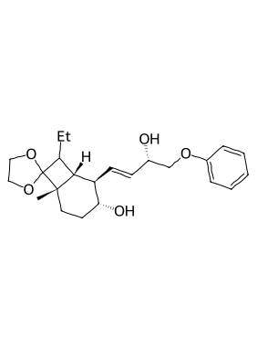 CCC1[C@@H]2[C@@H](/C=C/[C@H](O)COc3ccccc3)[C@H](O)CC[C@]2(C)C12OCCO2